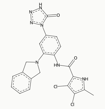 Cc1[nH]c(C(=O)Nc2ccc(-n3nn[nH]c3=O)cc2N2Cc3ccccc3C2)c(Cl)c1Cl